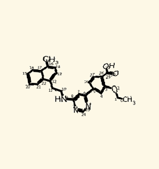 CCOc1cc(-c2cc(NCCc3ccc(C)c4ccccc34)ncn2)ccc1C(=O)O